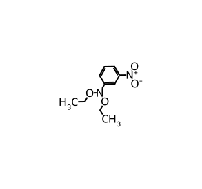 CCON(OCC)c1cccc([N+](=O)[O-])c1